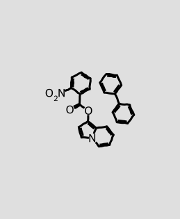 O=C(Oc1ccn2ccccc12)c1ccccc1[N+](=O)[O-].c1ccc(-c2ccccc2)cc1